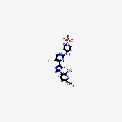 CCS(=O)(=O)N1CCC(Nc2ncc(C(F)(F)F)c(-c3cn(-c4ccc(C)nc4C#N)cn3)n2)CC1